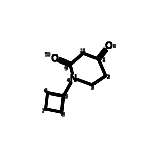 O=C1CCN(C2CCC2)C(=O)C1